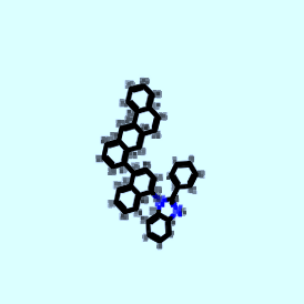 c1ccc(-c2nc3ccccc3n2-c2ccc(-c3cccc4cc5c(ccc6ccccc65)cc34)c3ccccc23)cc1